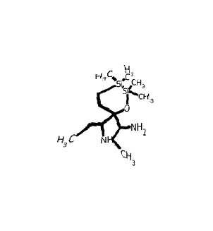 CCC(N)C1(C(N)CC)CC[Si](C)(C)[Si](C)(C)O1